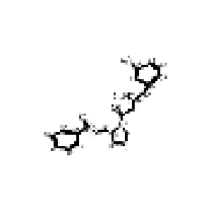 N[C@@H](CC(=O)N1CCC[C@H]1CNC(=O)c1ccccc1)Cc1cccc(F)c1